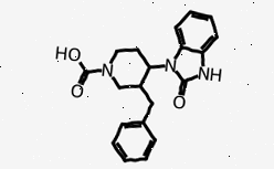 O=C(O)N1CCC(n2c(=O)[nH]c3ccccc32)C(Cc2ccccc2)C1